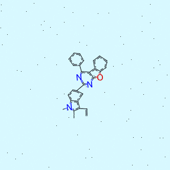 C=Cc1c(C)n(C)c2ccc(-c3nc(-c4ccccc4)c4c(n3)oc3ccccc34)cc12